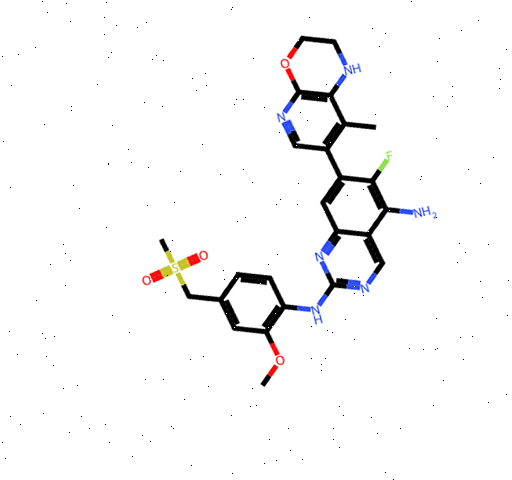 COc1cc(CS(C)(=O)=O)ccc1Nc1ncc2c(N)c(F)c(-c3cnc4c(c3C)NCCO4)cc2n1